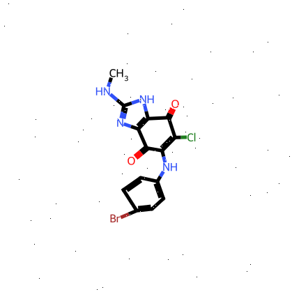 CNc1nc2c([nH]1)C(=O)C(Cl)=C(Nc1ccc(Br)cc1)C2=O